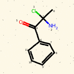 CC(N)(Cl)C(=O)c1ccccc1